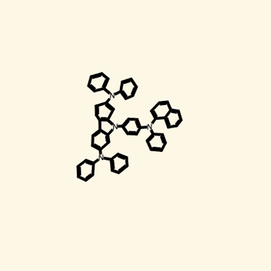 c1ccc(N(c2ccccc2)c2ccc3c4ccc(N(c5ccccc5)c5ccccc5)cc4n(-c4ccc(N(c5ccccc5)c5cccc6ccccc56)cc4)c3c2)cc1